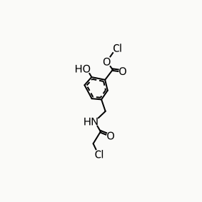 O=C(CCl)NCc1ccc(O)c(C(=O)OCl)c1